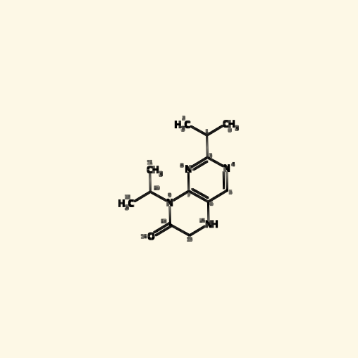 CC(C)c1ncc2c(n1)N(C(C)C)C(=O)CN2